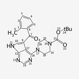 Cc1ccccc1C(=O)c1c[nH]c2ncnc(N3CCN(C(=O)OC(C)(C)C)CC3)c12